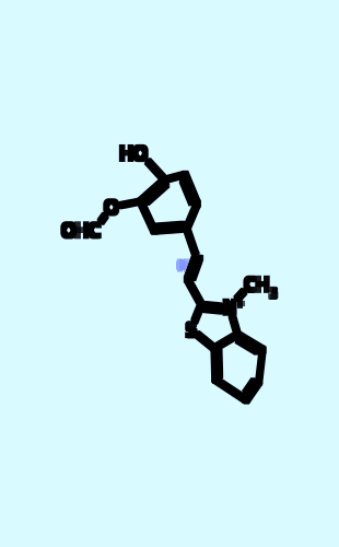 C[n+]1c(/C=C/c2ccc(O)c(OC=O)c2)sc2ccccc21